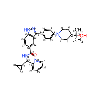 CC(C)(O)C1CCN(c2ccc(-c3n[nH]c4ccc(C(=O)NC(c5ccccn5)C5CC5)cc34)cc2)CC1